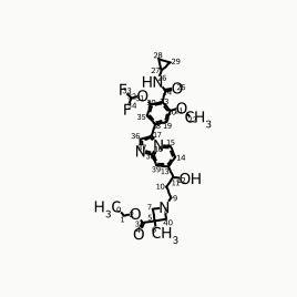 CCOC(=O)C1(C)CN(CCC(O)c2ccn3c(-c4cc(OC)c(C(=O)NC5CC5)c(OC(F)F)c4)cnc3c2)C1